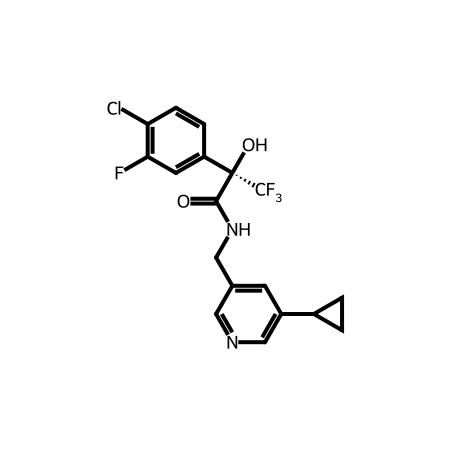 O=C(NCc1cncc(C2CC2)c1)[C@](O)(c1ccc(Cl)c(F)c1)C(F)(F)F